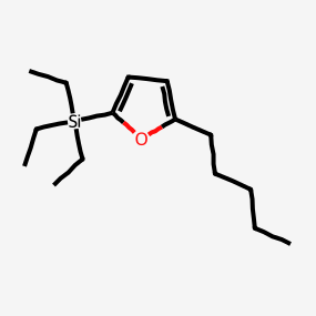 CCCCCc1ccc([Si](CC)(CC)CC)o1